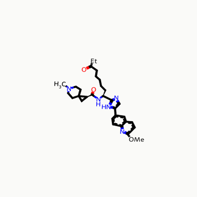 CCC(=O)CCCCC[C@H](NC(=O)[C@H]1CC12CCN(C)CC2)c1ncc(-c2ccc3nc(OC)ccc3c2)[nH]1